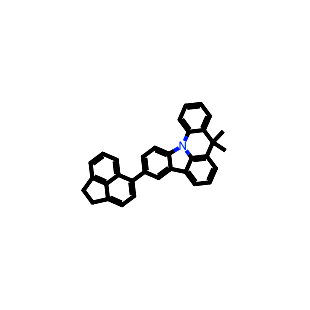 CC1(C)c2ccccc2-n2c3ccc(-c4ccc5c6c(cccc46)CC5)cc3c3cccc1c32